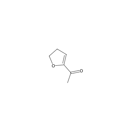 CC(=O)C1=CCCO1